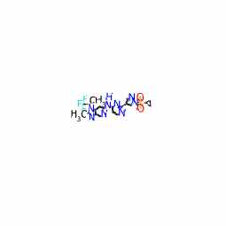 Cc1nc2cnc(Nc3ccnc(-c4cnn(S(=O)(=O)C5CC5)c4)n3)cc2n1C(C)C(F)(F)F